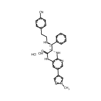 Cl.Cl.Cn1cc(-c2cnc3c(c2)NC(=O)[C@H]([C@@H](NCCc2ccc(C#N)cc2)c2ccccc2)N3)cn1